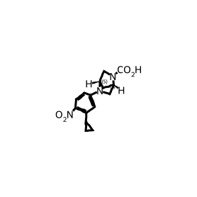 O=C(O)N1C[C@@H]2C[C@H]1CN2c1ccc([N+](=O)[O-])c(C2CC2)c1